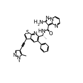 Cc1c(C#Cc2csc3nc([C@@H](C)NC(=O)c4c(N)nn5cccnc45)c(-c4ccccc4)cc23)cnn1C